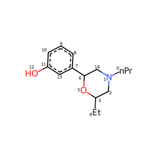 CCCN1CC(CC)OC(c2cccc(O)c2)C1